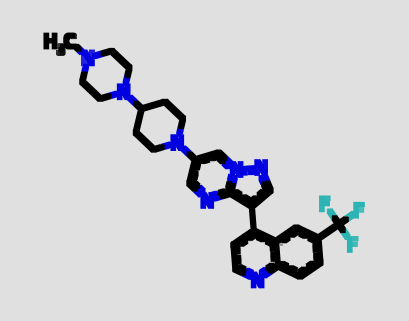 CN1CCN(C2CCN(c3cnc4c(-c5ccnc6ccc(C(F)(F)F)cc56)cnn4c3)CC2)CC1